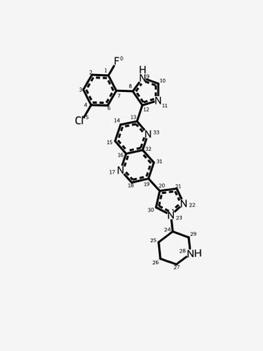 Fc1ccc(Cl)cc1-c1[nH]cnc1-c1ccc2ncc(-c3cnn(C4CCCNC4)c3)cc2n1